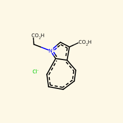 O=C(O)C[n+]1cc(C(=O)O)c2cccccc1-2.[Cl-]